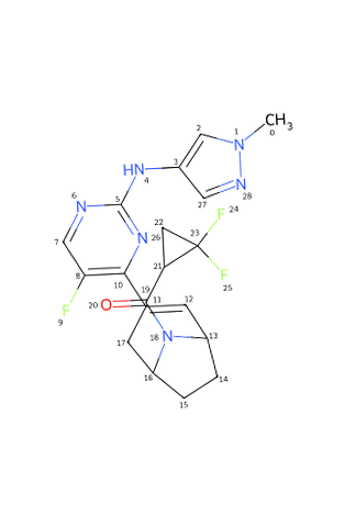 Cn1cc(Nc2ncc(F)c(C3=CC4CCC(C3)N4C(=O)C3CC3(F)F)n2)cn1